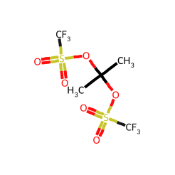 CC(C)(OS(=O)(=O)C(F)(F)F)OS(=O)(=O)C(F)(F)F